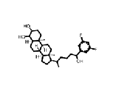 CC(CCCC(O)c1cc(F)cc(F)c1)[C@H]1CC[C@H]2[C@@H]3CC[C@H]4[C@@H](O)[C@@H](O)CC[C@]4(C)[C@H]3CC[C@]12C